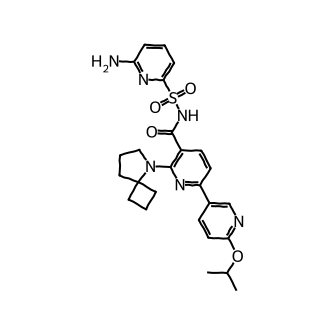 CC(C)Oc1ccc(-c2ccc(C(=O)NS(=O)(=O)c3cccc(N)n3)c(N3CCCC34CCC4)n2)cn1